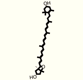 CC1=C(CC/C(C)=C/C=C/C(C)=C/C=C/C=C(C)/C=C/C=C(C)/C=C/C(=O)[C@]2(C)C[C@@H](O)CC2(C)C)C(C)(C)C[C@H](O)C1